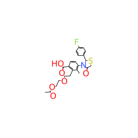 CC(=O)OCCOCCc1c(C(=O)O)ccc(N2C(=O)CSC2c2ccc(F)cc2)c1C